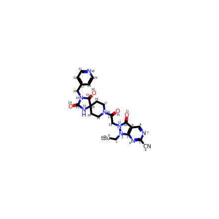 CC(C)(C)Cn1c2nc(C#N)ncc2c(=O)n1CC(=O)N1CCC2(CC1)NC(=O)N(Cc1ccncc1)C2=O